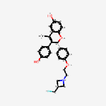 CC1=C(c2ccc(O)cc2)[C@@H](c2ccc(OCCN3CC(CF)C3)cc2)Oc2ccc(O)cc21